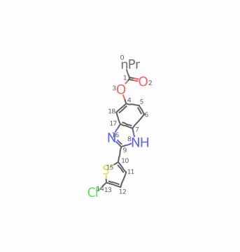 CCCC(=O)Oc1ccc2[nH]c(-c3ccc(Cl)s3)nc2c1